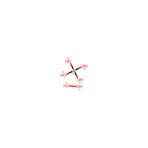 OO.O[Si](O)(O)O